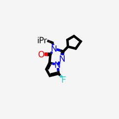 CC(C)Cn1c(C2CCCC2)nn2c(F)ccc2c1=O